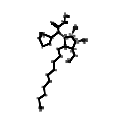 CCCCNC(=O)C(C1CCCN1)[C@@H]1[C@H](O)[C@H](O)[C@@H](CO)N1CCCCCCCCCO